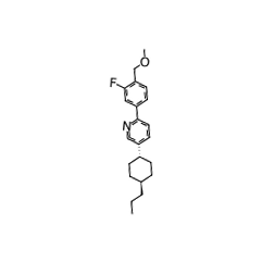 CCC[C@H]1CC[C@H](c2ccc(-c3ccc(COC)c(F)c3)nc2)CC1